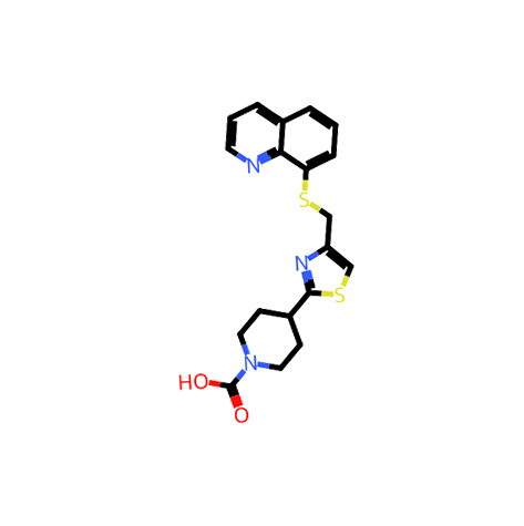 O=C(O)N1CCC(c2nc(CSc3cccc4cccnc34)cs2)CC1